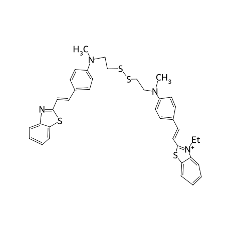 CC[n+]1c(/C=C/c2ccc(N(C)CCSSCCN(C)c3ccc(/C=C/c4nc5ccccc5s4)cc3)cc2)sc2ccccc21